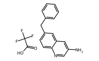 Nc1cnc2ccc(Cc3ccccc3)cc2c1.O=C(O)C(F)(F)F